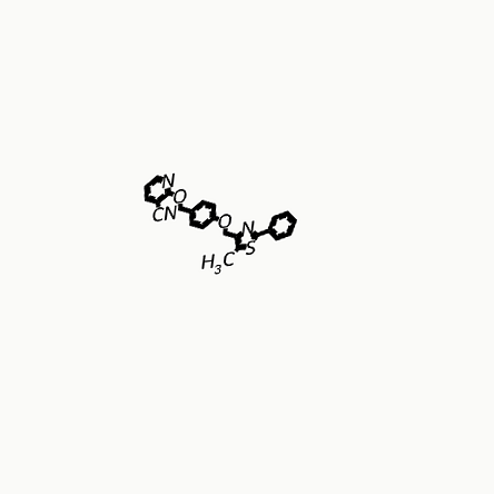 Cc1sc(-c2ccccc2)nc1COc1ccc(COc2ncccc2C#N)cc1